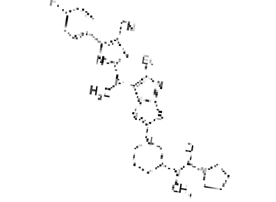 CCc1nc2sc(N3CCCC(N(C)C(=O)N4CCCC4)C3)nn2c1N(C)c1nc(-c2ccc(F)cc2)c(C#N)s1